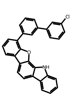 Clc1cccc(-c2cccc(-c3cccc4c3oc3c4ccc4c5ccccc5[nH]c43)c2)c1